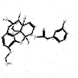 COCOc1ccc2c3c1O[C@H]1[C@@H](OC(=O)Cc4cccc(Cl)c4)C=C[C@H]4[C@@H](C2)N(C)CC[C@@]341